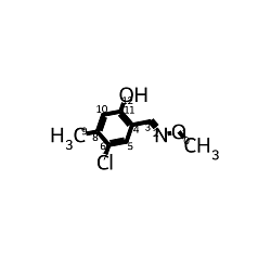 CO/N=C/c1cc(Cl)c(C)cc1O